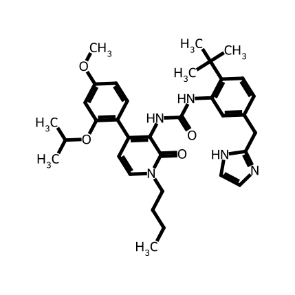 CCCCn1ccc(-c2ccc(OC)cc2OC(C)C)c(NC(=O)Nc2cc(Cc3ncc[nH]3)ccc2C(C)(C)C)c1=O